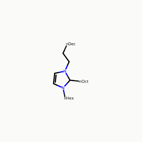 CCCCCCCCCCCCN1C=CN(CCCCCC)C1CCCCCCCC